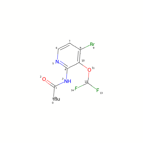 CC(C)(C)C(=O)Nc1nccc(Br)c1OC(F)F